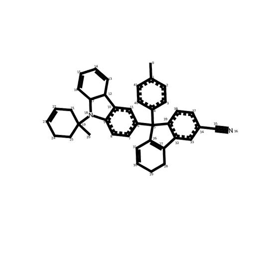 Cc1ccc(C2(c3ccc4c(c3)C3C=CC=CC3N4C3(C)CC=CCC3)C3=C(CCC=C3)c3cc(C#N)ccc32)cc1